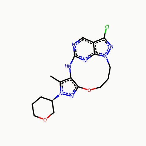 Cc1c2c(nn1[C@@H]1CCCOC1)OCCCn1nc(Cl)c3cnc(nc31)N2